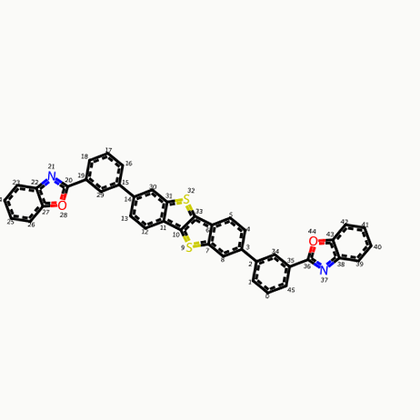 c1cc(-c2ccc3c(c2)sc2c4ccc(-c5cccc(-c6nc7ccccc7o6)c5)cc4sc32)cc(-c2nc3ccccc3o2)c1